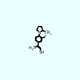 CC1CCCN1c1ccc(/C(N)=C/S)cc1F